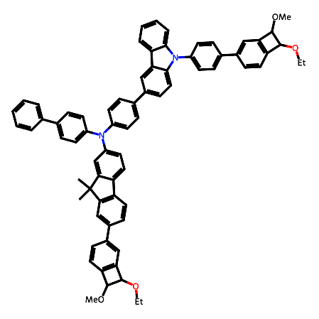 CCOC1c2ccc(-c3ccc(-n4c5ccccc5c5cc(-c6ccc(N(c7ccc(-c8ccccc8)cc7)c7ccc8c(c7)C(C)(C)c7cc(-c9ccc%10c(c9)C(OCC)C%10OC)ccc7-8)cc6)ccc54)cc3)cc2C1OC